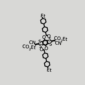 [C-]#[N+]C(C(=O)OCC)=C1Sc2c(OC(=O)C3CCC(C4CCC(CC)CC4)CC3)c3c(c(OC(=O)C4CCC(C5CCC(CC)CC5)CC4)c2S1)SC(=C(C#N)C(=O)OCC)S3